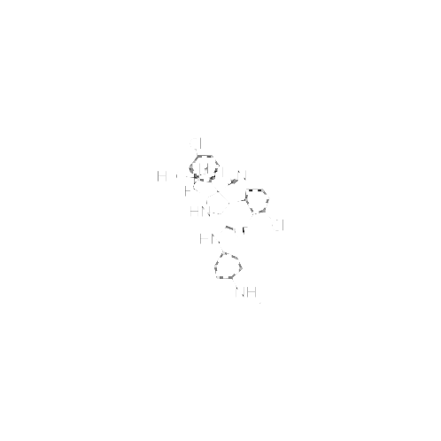 CC(C)(C)C[C@@H]1N[C@@H](C(=O)Nc2ccc(N)cc2)[C@H](c2cccc(Cl)c2F)[C@@]1(C#N)c1ccc(Cl)cc1F